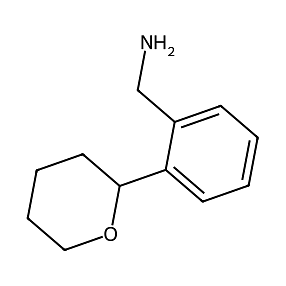 NCc1ccccc1C1CCCCO1